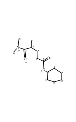 CC(CCC(=O)OC1CCCCC1)C(=O)N(C)C